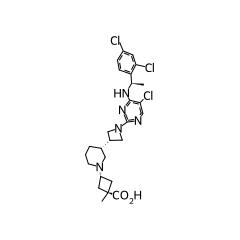 C[C@@H](Nc1nc(N2CC([C@H]3CCCN([C@H]4C[C@](C)(C(=O)O)C4)C3)C2)ncc1Cl)c1ccc(Cl)cc1Cl